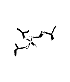 CC(C)N=CNP(=S)(OC(C)C)SC(C)C